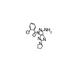 Nc1nn(C(=O)c2ccccc2Cl)c2nc(N3CCCC3)ncc12